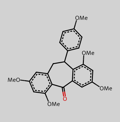 COc1ccc(C2Cc3cc(OC)cc(OC)c3C(=O)c3cc(OC)cc(OC)c32)cc1